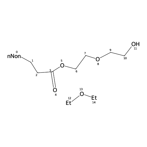 CCCCCCCCCCCC(=O)OCCOCCO.CCOCC